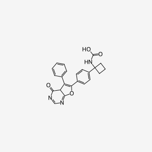 O=C(O)NC1(c2ccc(C3=C(c4ccccc4)C4C(=O)N=CN=C4O3)cc2)CCC1